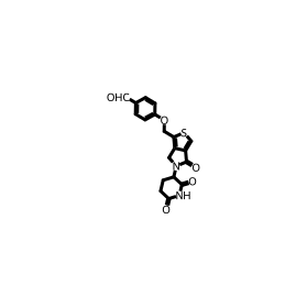 O=Cc1ccc(OCc2scc3c2CN(C2CCC(=O)NC2=O)C3=O)cc1